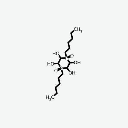 CCCCCCP1(=O)C(O)C(O)P(=O)(CCCCCC)C(O)C1O